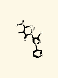 CCN(C(=O)C(C)C([S+](C)[O-])C(F)(F)F)c1cn(-c2cccnc2)nc1Cl